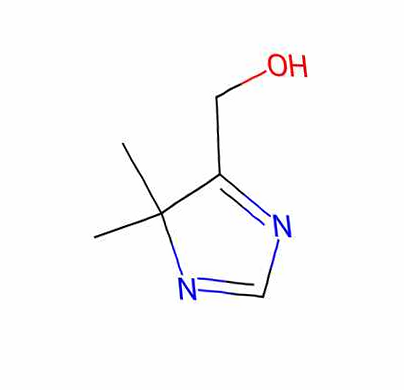 CC1(C)N=CN=C1CO